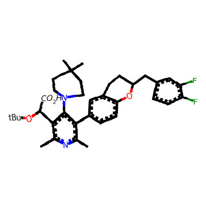 Cc1nc(C)c(C(OC(C)(C)C)C(=O)O)c(N2CCC(C)(C)CC2)c1-c1ccc2c(c1)CCC(Cc1ccc(F)c(F)c1)O2